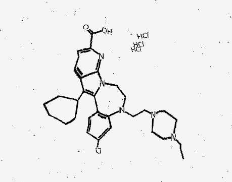 CCN1CCN(CCN2CCn3c(c(C4CCCCC4)c4ccc(C(=O)O)nc43)-c3ccc(Cl)cc32)CC1.Cl.Cl.Cl